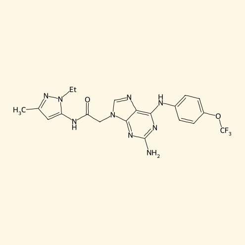 CCn1nc(C)cc1NC(=O)Cn1cnc2c(Nc3ccc(OC(F)(F)F)cc3)nc(N)nc21